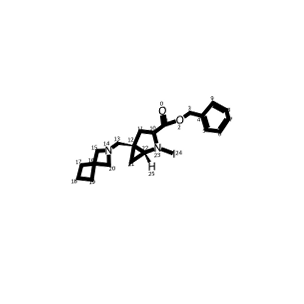 O=C(OCc1ccccc1)C1C[C@@]2(CN3CC4(CCC4)C3)C[C@H]2N1I